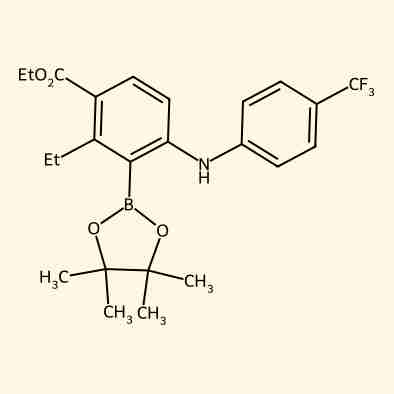 CCOC(=O)c1ccc(Nc2ccc(C(F)(F)F)cc2)c(B2OC(C)(C)C(C)(C)O2)c1CC